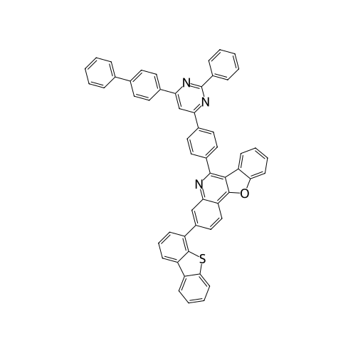 c1ccc(-c2ccc(-c3cc(-c4ccc(-c5nc6cc(-c7cccc8c7sc7ccccc78)ccc6c6oc7ccccc7c56)cc4)nc(-c4ccccc4)n3)cc2)cc1